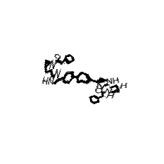 O=C([CH]c1ccccc1)N1C(c2nc(-c3ccc(-c4ccc(-c5c[nH]c([C@@H]6C[C@H]7C[C@H]7N6C(=O)[CH]c6ccccc6)n5)cc4)cc3)c[nH]2)CC2CC21